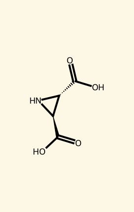 O=C(O)[C@H]1N[C@@H]1C(=O)O